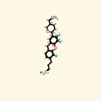 C=CCCc1ccc2c(c1F)Oc1c(cc(C3CCC(C=C)CO3)c(F)c1F)C2